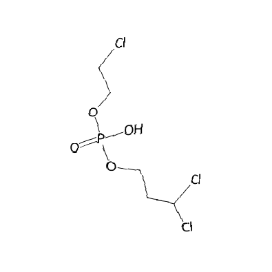 O=P(O)(OCCCl)OCCC(Cl)Cl